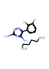 Nc1nnc(-c2cccc(Cl)c2Cl)c(N)n1.O=C(O)CCCCC(=O)O